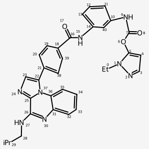 CCn1nccc1OC(=O)Nc1cccc(NC(=O)c2ccc(-c3cnc4c(NCC(C)C)nc5ccccc5n34)cc2)c1